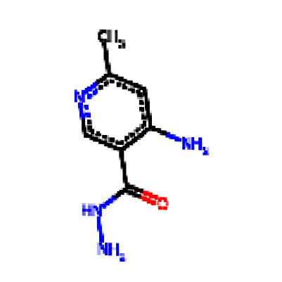 Cc1cc(N)c(C(=O)NN)cn1